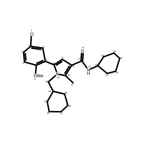 COc1ccc(Cl)cc1-c1cc(C(=O)NC2CCCCC2)c(C)n1CC1CCCCC1